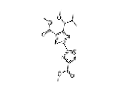 COC(=O)c1csc(-c2nc(C(=O)OC)c(C(OC)C(C)C)s2)n1